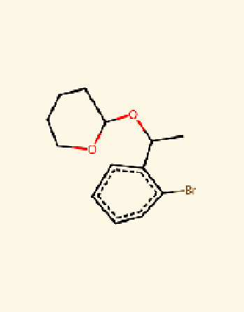 CC(OC1CCCCO1)c1ccccc1Br